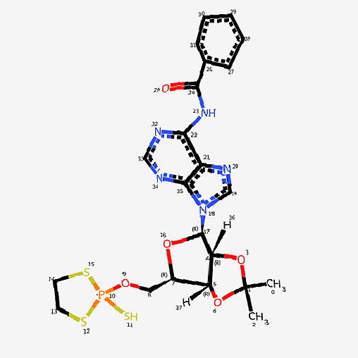 CC1(C)O[C@@H]2[C@H](O1)[C@@H](CO[P]1(S)SCCS1)O[C@H]2n1cnc2c(NC(=O)c3ccccc3)ncnc21